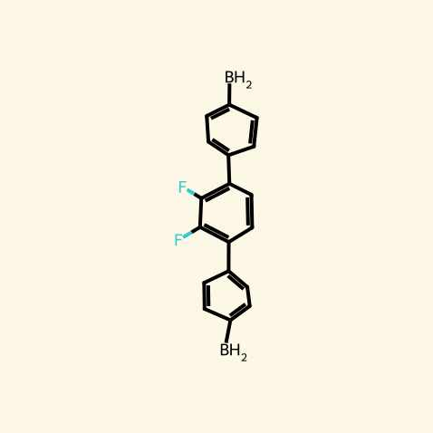 Bc1ccc(-c2ccc(-c3ccc(B)cc3)c(F)c2F)cc1